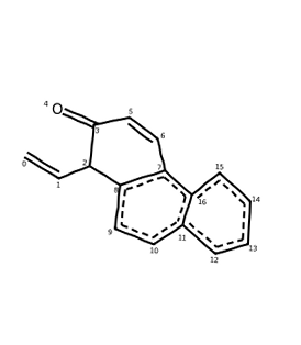 C=CC1C(=O)C=Cc2c1ccc1ccccc21